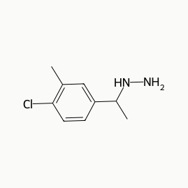 Cc1cc(C(C)NN)ccc1Cl